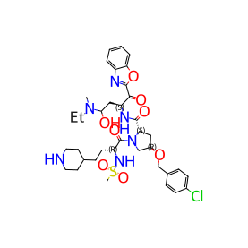 CCN(C)C(O)C[C@H](NC(=O)[C@@H]1C[C@@H](OCc2ccc(Cl)cc2)CN1C(=O)[C@@H](CCC1CCNCC1)NS(C)(=O)=O)C(=O)c1nc2ccccc2o1